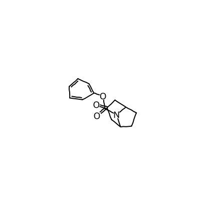 O=C1CC2CCC(C1)N2C(=O)Oc1ccccc1